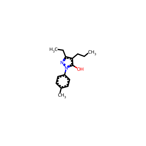 CCCc1c(CC)nn(-c2ccc(C)cc2)c1O